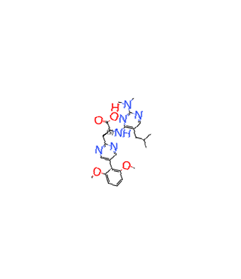 COc1cccc(OC)c1-c1cnc(C[C@H](Nc2nc(N(C)C)ncc2CC(C)C)C(=O)O)nc1